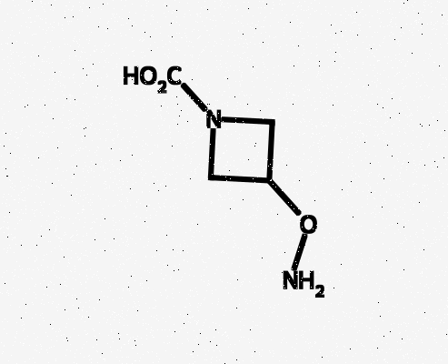 NOC1CN(C(=O)O)C1